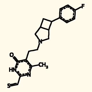 Cc1nc(C=S)[nH]c(=O)c1CCN1CC2CC(c3ccc(F)cc3)C2C1